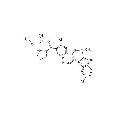 COC(OC)[C@H]1CCCN1C(=O)c1cc2ncnc(N[C@H](C)c3nc4cc(Cl)ccc4[nH]3)c2cc1Cl